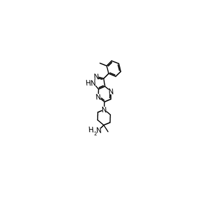 Cc1ccccc1-c1n[nH]c2nc(N3CCC(C)(N)CC3)cnc12